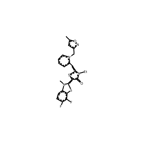 CCn1c(=O)/c(=C2\Sc3c(ccc(F)c3F)N2C)s/c1=C\c1cccc[n+]1Cc1cc(C)on1